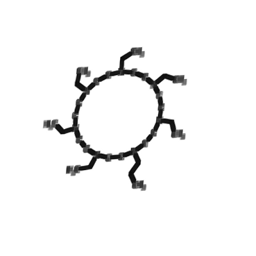 CCCN1CCN(CC)CCN(CC)CCN(CC)CCN(CC)CCN(CC)CCN(CC)CC1